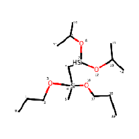 CCCO[Si](C)(C[SiH](OC(C)C)OC(C)C)OCCC